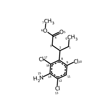 CCC(CC(=O)OC)c1c(Cl)cc(Cl)c(N)c1Cl